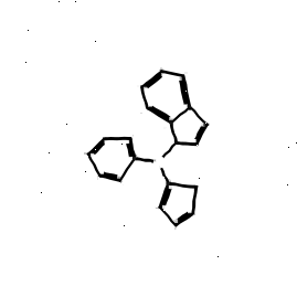 C1=CCC(B(c2ccccc2)C2C=Cc3ccccc32)=C1